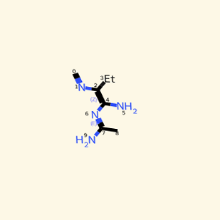 C=N/C(CC)=C(N)\N=C(/C)N